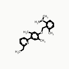 CCc1cccc(-c2cc(C)c(OCc3c(C)cccc3N(C)N)cc2C)n1